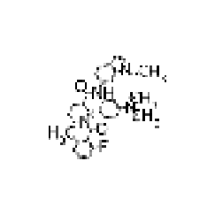 CCn1ccc2ccc(NC(=O)C3CCCN(C(=O)c4c(C)cccc4F)[C@H]3C3C=CC(N(C)C)=CC3)cc21